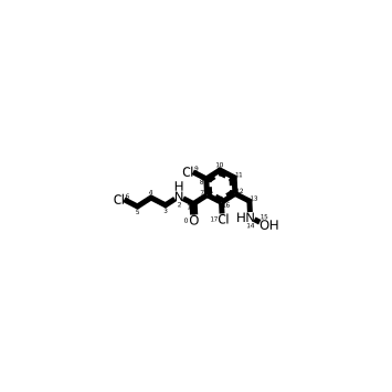 O=C(NCCCCl)c1c(Cl)ccc(CNO)c1Cl